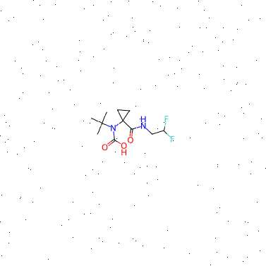 CC(C)(C)N(C(=O)O)C1(C(=O)NCC(F)F)CC1